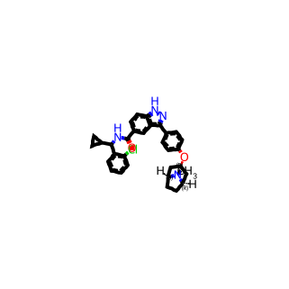 CN1[C@@H]2CC[C@H]1C[C@@H](Oc1ccc(-c3n[nH]c4ccc(C(=O)NC(c5ccccc5Cl)C5CC5)cc34)cc1)C2